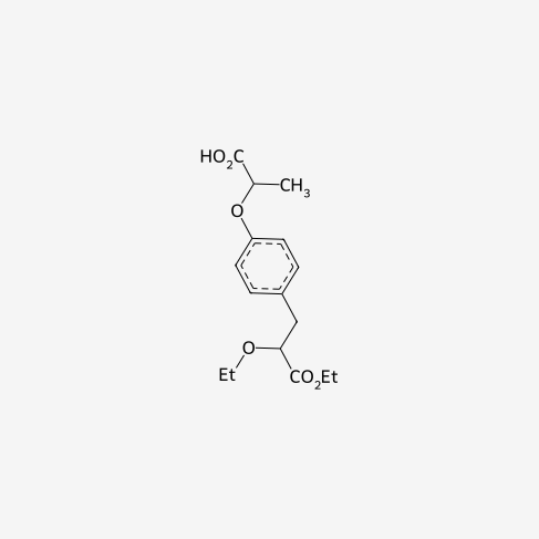 CCOC(=O)C(Cc1ccc(OC(C)C(=O)O)cc1)OCC